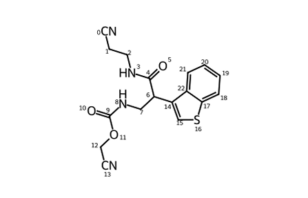 N#CCCNC(=O)C(CNC(=O)OCC#N)c1csc2ccccc12